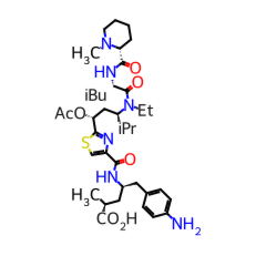 CC[C@H](C)[C@H](NC(=O)[C@H]1CCCCN1C)C(=O)N(CC)[C@H](C[C@@H](OC(C)=O)c1nc(C(=O)N[C@@H](Cc2ccc(N)cc2)C[C@H](C)C(=O)O)cs1)C(C)C